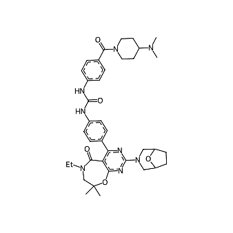 CCN1CC(C)(C)Oc2nc(N3CC4CCC(C3)O4)nc(-c3ccc(NC(=O)Nc4ccc(C(=O)N5CCC(N(C)C)CC5)cc4)cc3)c2C1=O